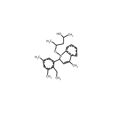 CCc1c(C)cc(C)cc1C1C=C(C)c2ccccc2N1OC(C)CC(C)O